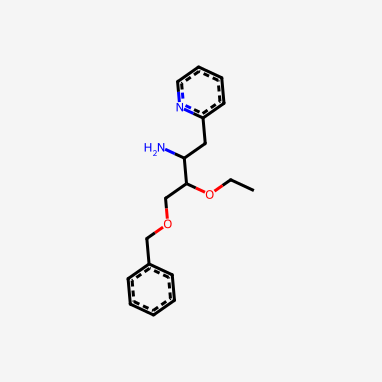 CCOC(COCc1ccccc1)C(N)Cc1ccccn1